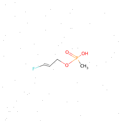 CP(=O)(O)OCC=CF